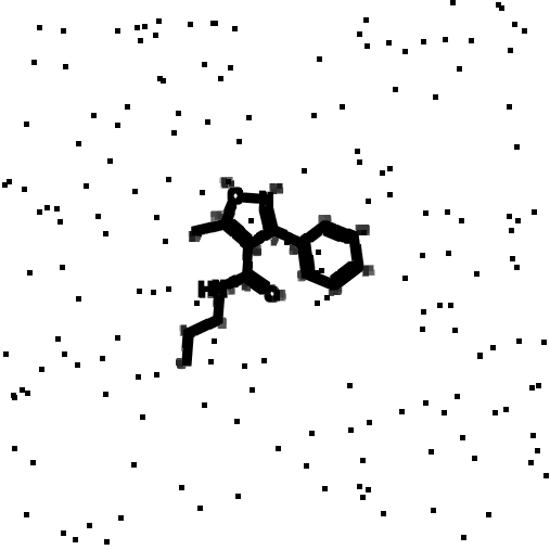 CCCNC(=O)c1c(-c2ccccc2)noc1C